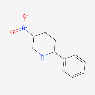 O=[N+]([O-])C1CCC(c2ccccc2)NC1